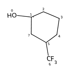 O[C]1CCCC(C(F)(F)F)C1